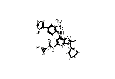 Cc1nc2c(Nc3ccc(-c4cncn4C)cc3S(C)(=O)=O)cc(NC(=O)[C@@H]3C[C@@H]3F)nc2n1C1CCCCO1